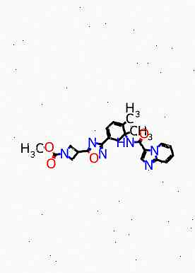 COC(=O)N1CC(c2nc(C3=CC=C(C)C(C)(NC(=O)c4cnc5ccccn45)C3)no2)C1